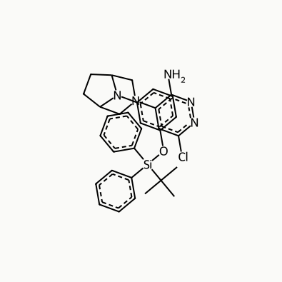 CC(C)(C)[Si](Oc1cccc(N2C3CCC2CN(c2cc(Cl)nnc2N)C3)c1)(c1ccccc1)c1ccccc1